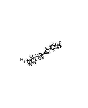 Cn1cnc2ncn(Cc3nc(C4C5CN(c6ccc(OC(F)(F)F)cc6)CC54)no3)c(=O)c21